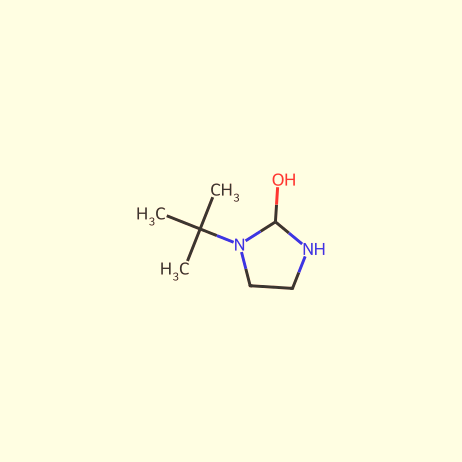 CC(C)(C)N1CCNC1O